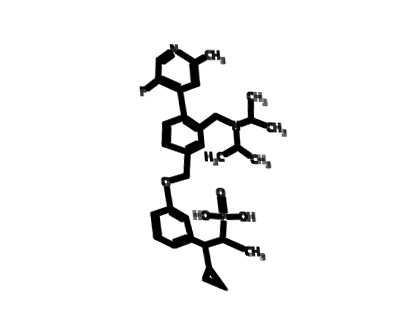 Cc1cc(-c2ccc(COc3cccc(C(C4CC4)C(C)P(=O)(O)O)c3)cc2CN(C(C)C)C(C)C)c(F)cn1